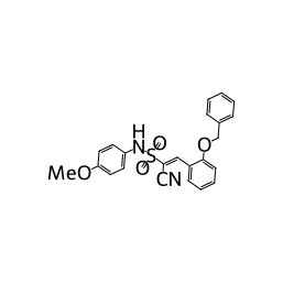 COc1ccc(NS(=O)(=O)/C(C#N)=C/c2ccccc2OCc2ccccc2)cc1